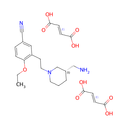 CCOc1ccc(C#N)cc1CCN1CCC[C@@H](CN)C1.O=C(O)/C=C/C(=O)O.O=C(O)/C=C/C(=O)O